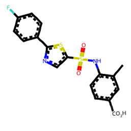 Cc1cc(C(=O)O)ccc1NS(=O)(=O)c1cnc(-c2ccc(F)cc2)s1